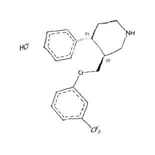 Cl.FC(F)(F)c1cccc(OC[C@@H]2CNCC[C@H]2c2ccccc2)c1